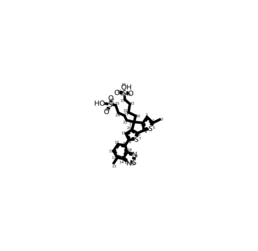 Cc1cc2c(s1)-c1sc(-c3ccc(C)c4nsnc34)cc1C2(CCCCS(=O)(=O)O)CCCCS(=O)(=O)O